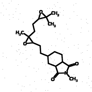 CN1C(=O)C2CCC(CCC3OC3(C)CCC3OC3(C)C)CC2C1=O